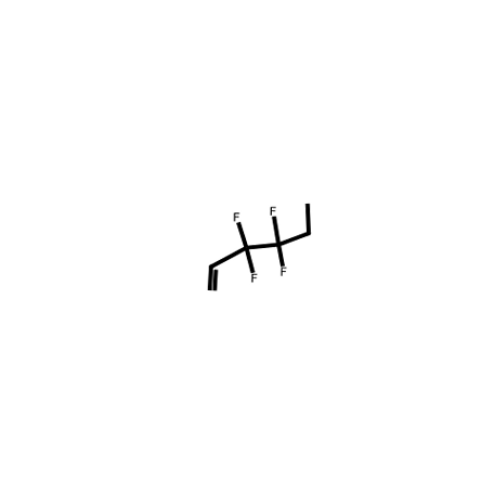 C=CC(F)(F)C(F)(F)CC